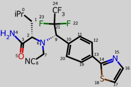 CC(C)C[C@@H](C(N)=O)N(CC#N)[C@@H](c1ccc(-c2nccs2)cc1)C(F)(F)C(F)(F)F